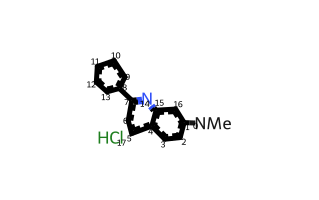 CNc1ccc2ccc(-c3ccccc3)nc2c1.Cl